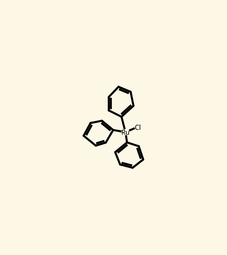 [Cl][Ru]([c]1ccccc1)([c]1ccccc1)[c]1ccccc1